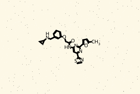 Cc1ccc(-c2nc(NC(=O)COc3cccc(CNC4CC4)c3)cc(-c3nccs3)n2)o1